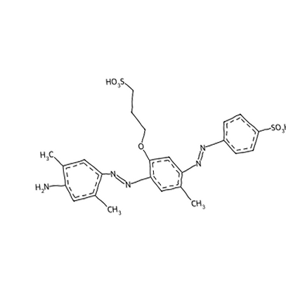 Cc1cc(N=Nc2cc(C)c(N=Nc3ccc(S(=O)(=O)O)cc3)cc2OCCCS(=O)(=O)O)c(C)cc1N